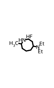 CCN(CC)C1CCCC(C)NCC1.F